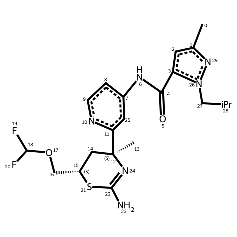 Cc1cc(C(=O)Nc2ccnc([C@]3(C)C[C@@H](COC(F)F)SC(N)=N3)c2)n(CC(C)C)n1